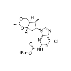 C=C1[C@@H]2CO[C@H](C)O[C@H]2C[C@@H]1n1cnc2c(Cl)nc(NC(=O)OC(C)(C)C)nc21